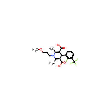 COCCCN1C(C)=C(C(=O)O)C(c2cccc(C(F)(F)F)c2F)C(C(=O)O)=C1C